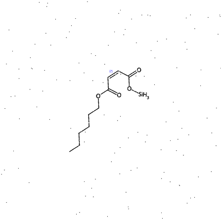 CCCCCCOC(=O)/C=C\C(=O)O[SiH3]